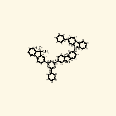 CC1(C)c2ccccc2-c2ccc(-c3nc(-c4ccccc4)nc(-c4ccc5c(c4)oc4ccc(-n6c7ccccc7c7ccc(-c8ccccc8)cc76)cc45)n3)cc21